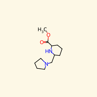 COC(=O)C1CCCC(CN2CCCC2)N1